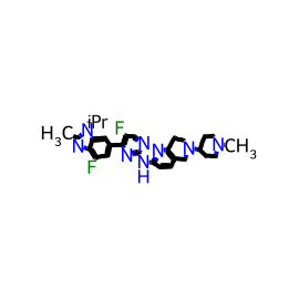 Cc1nc2c(F)cc(-c3nc(Nc4ccc5c(n4)CCN(C4CCN(C)CC4)C5)ncc3F)cc2n1C(C)C